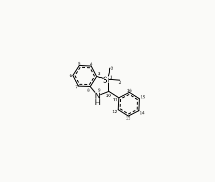 C[Si]1(C)c2ccccc2NC1c1ccccc1